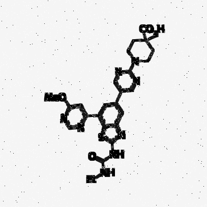 CCNC(=O)Nc1nc2cc(-c3cnc(N4CCC(C)(C(=O)O)CC4)nc3)cc(-c3cc(OC)ncn3)c2s1